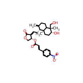 C=C1CCC2[C@](C)(CO)[C@H](O)CC[C@@]2(C)[C@@H]1C/C=C1/C(=O)OC[C@H]1OC(=O)/C=C/c1ccc([N+](=O)[O-])cc1